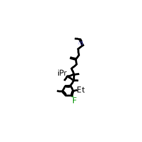 C=C(CC/C=C\C)CCC1(C)C(C)(c2cc(C)cc(F)c2CC)C1(C)C(C)C